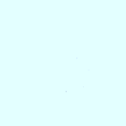 CC(C)[C@H](NC(=O)OCc1ccccc1)C(=O)N[C@H](C(=O)N[C@H](C(=O)NC[C@@H](O)CP(=O)(CC1CCCCC1)OCc1ccccc1)C(C)C)C(C)C